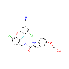 N#Cc1cc(Cl)cc(Oc2c(Cl)ccc(CNC(=O)c3cc4cc(OCCO)ccc4[nH]3)c2F)c1